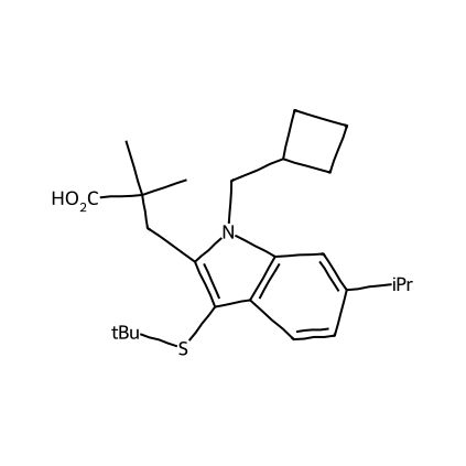 CC(C)c1ccc2c(SC(C)(C)C)c(CC(C)(C)C(=O)O)n(CC3CCC3)c2c1